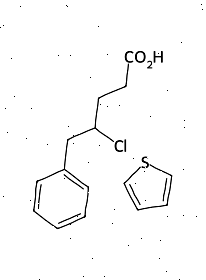 O=C(O)CCC(Cl)Cc1ccccc1.c1ccsc1